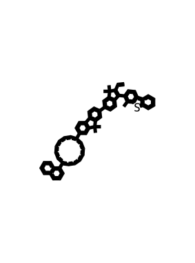 C=CC1=C(c2ccc3c(sc4ccccc43)c2C)c2ccc(-c3ccc4c(c3)C(C)(C)c3cc(-c5ccccccc(-c6cccc7ccccc67)cccccc5)ccc3-4)cc2C1(C)C